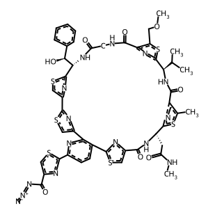 CNC(=O)C[C@@H]1NC(=O)c2csc(n2)-c2ccc(-c3nc(C(=O)N=[N+]=[N-])cs3)nc2-c2csc(n2)-c2csc(n2)[C@H]([C@@H](O)c2ccccc2)NC(=O)CNC(=O)c2nc(sc2COC)[C@@H](C(C)C)NC(=O)c2nc1sc2C